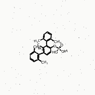 Cc1cccc(C)c1-c1ccc(OP(=O)(O)O)c(-c2c(C)cccc2C)c1C